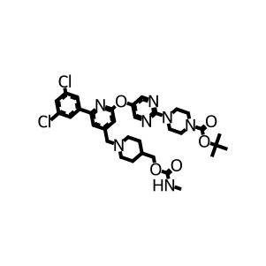 CNC(=O)OCC1CCN(Cc2cc(Oc3cnc(N4CCN(C(=O)OC(C)(C)C)CC4)nc3)nc(-c3cc(Cl)cc(Cl)c3)c2)CC1